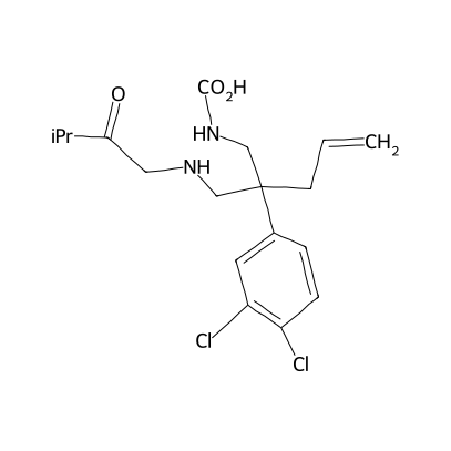 C=CCC(CNCC(=O)C(C)C)(CNC(=O)O)c1ccc(Cl)c(Cl)c1